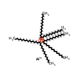 CCCCCCCCCCCCCCCCC(CCCCCCCCCCCCCCC)OP(=O)(OC(CCCCCCCCCCCCCCC)CCCCCCCCCCCCCCCC)OC(CCCCCCCCCCCCCCC)CCCCCCCCCCCCCCCC.[Al+3]